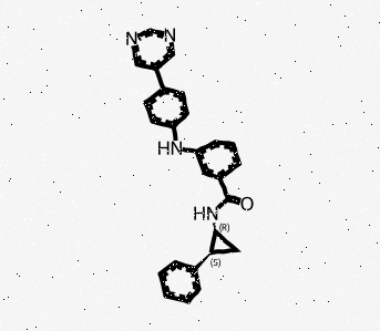 O=C(N[C@@H]1C[C@H]1c1ccccc1)c1cccc(Nc2ccc(-c3cncnc3)cc2)c1